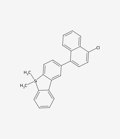 C[Si]1(C)c2ccccc2-c2cc(-c3ccc(Cl)c4ccccc34)ccc21